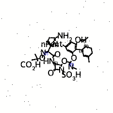 C=C(C)[C@@H]1CCC(C)=C[C@H]1c1c(O)cc(CCCCC)cc1O/C(=N\C)OC1[C@H](NC(=O)/C(=N\OC(C)(C)C(=O)O)C2=CCC(N)=N2)C(=O)N1S(=O)(=O)O